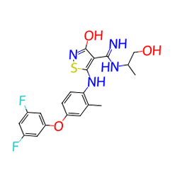 Cc1cc(Oc2cc(F)cc(F)c2)ccc1Nc1snc(O)c1C(=N)NC(C)CO